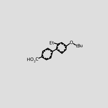 CCc1cc(OC(C)(C)C)ccc1-c1ccc(C(=O)O)cc1